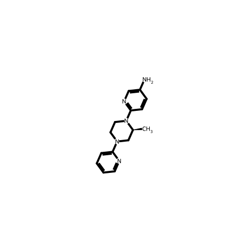 C[C@H]1CN(c2ccccn2)CCN1c1ccc(N)cn1